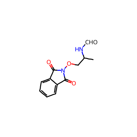 CC(CON1C(=O)c2ccccc2C1=O)NC=O